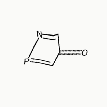 O=C1C=NP=C1